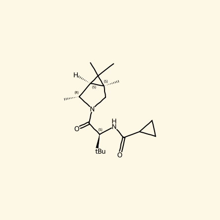 C[C@@H]1[C@H]2C(C)(C)[C@@]2(C)CN1C(=O)[C@@H](NC(=O)C1CC1)C(C)(C)C